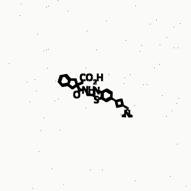 CN(C)C[C@H]1C[C@@H](c2ccc3nc(CNC(=O)C4(CC(=O)O)Cc5ccccc5C4)sc3c2)C1